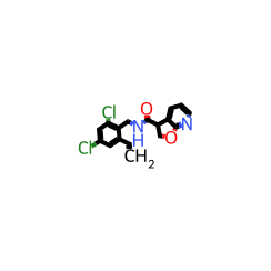 C=Cc1cc(Cl)cc(Cl)c1CNC(=O)C1COc2ncccc21